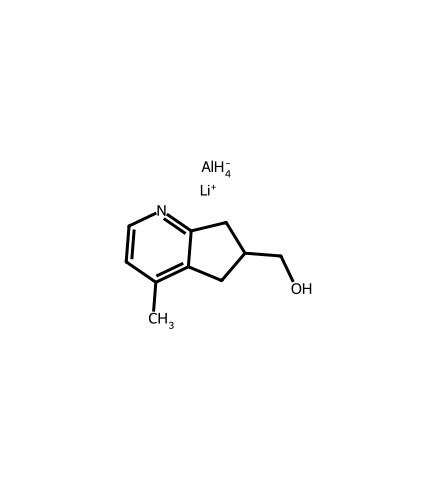 Cc1ccnc2c1CC(CO)C2.[AlH4-].[Li+]